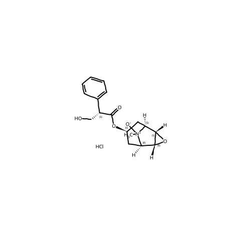 C[N+]1([O-])[C@@H]2C[C@@H](OC(=O)[C@H](CO)c3ccccc3)C[C@H]1[C@@H]1O[C@@H]12.Cl